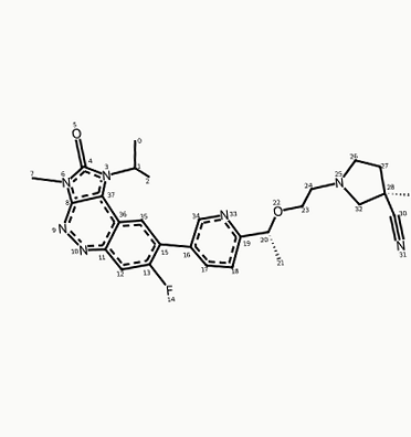 CC(C)n1c(=O)n(C)c2nnc3cc(F)c(-c4ccc([C@@H](C)OCCN5CC[C@@](C)(C#N)C5)nc4)cc3c21